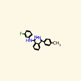 Cc1ccc(-c2nnc(Nc3cccc(F)c3)c3ccccc23)cc1